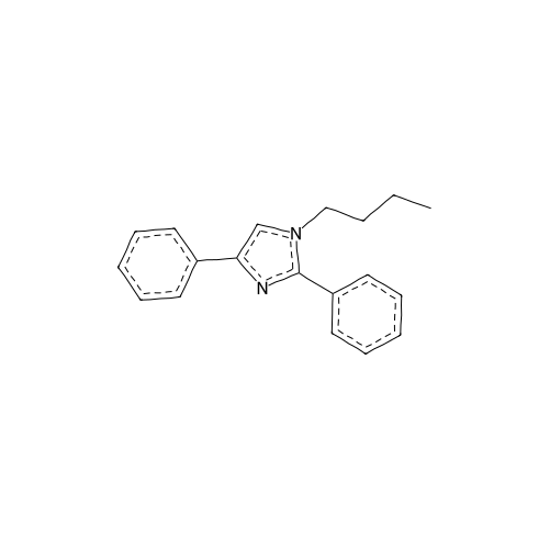 CCCCn1cc(-c2ccccc2)nc1-c1ccccc1